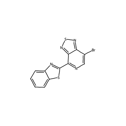 Brc1cnc(-c2nc3ccccc3s2)c2nsnc12